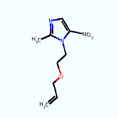 C=CCOCCn1c([N+](=O)[O-])cnc1C